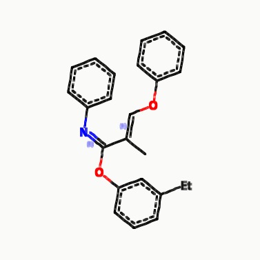 CCc1cccc(OC(=N/c2ccccc2)/C(C)=C/Oc2ccccc2)c1